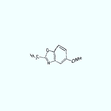 [CH2]c1nc2cc(OC)ccc2o1